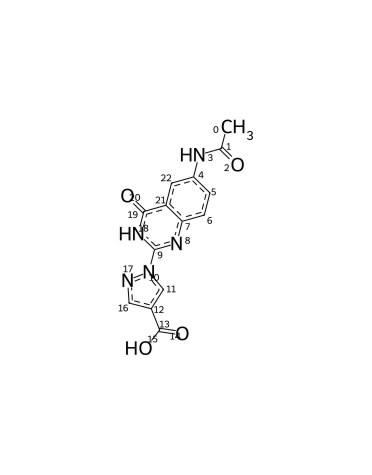 CC(=O)Nc1ccc2nc(-n3cc(C(=O)O)cn3)[nH]c(=O)c2c1